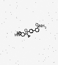 NC(=O)C1C=CCC(C2=CCC(C(=O)N(C3CC3)C3CCc4[nH]ncc4C3)C=C2)C1